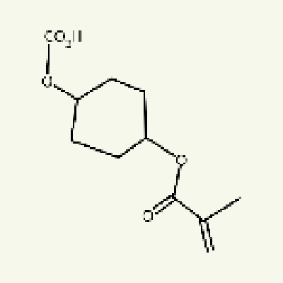 C=C(C)C(=O)OC1CCC(OC(=O)O)CC1